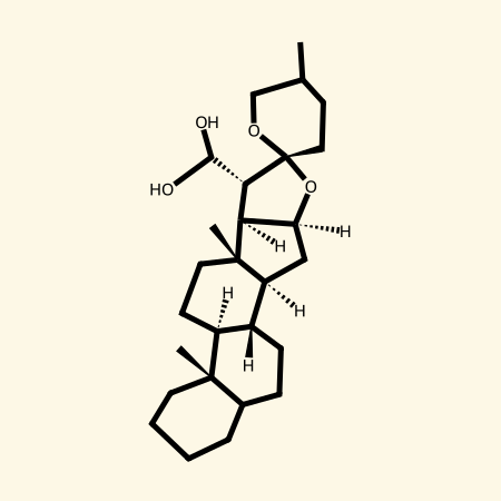 CC1CC[C@@]2(OC1)O[C@H]1C[C@H]3[C@@H]4CCC5CCCC[C@]5(C)[C@H]4CC[C@]3(C)[C@H]1[C@@H]2C(O)O